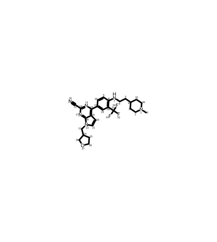 CN1CCC(CCNc2ccc(-c3nc(C#N)nc4c3ccn4CC3CCOC3)cc2C(F)(F)F)CC1